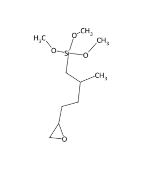 CO[Si](CC(C)CCC1CO1)(OC)OC